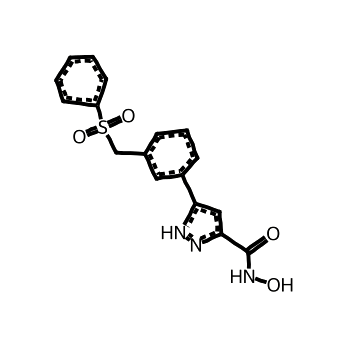 O=C(NO)c1cc(-c2cccc(CS(=O)(=O)c3ccccc3)c2)[nH]n1